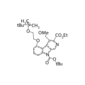 CCOC(=O)c1ncc2c(c1COC)c1c(OCCO[Si](C)(C)C(C)(C)C)cccc1n2C(=O)OC(C)(C)C